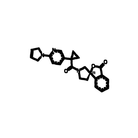 O=C1O[C@]2(CCN(C(=O)C3(c4ccc(N5CC=CC5)nc4)CC3)C2)c2ccccc21